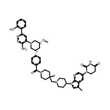 CO[C@@H]1C[C@H](c2ccc(C(=O)N3CCC(F)(CN4CCC(n5cc(C)c6cc(N7CCC(=O)NC7=O)cnc65)CC4)CC3)cc2)CN(c2cc(-c3ccccc3O)nnc2N)C1